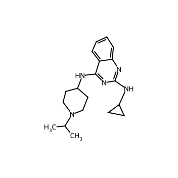 CC(C)N1CCC(Nc2nc(NC3CC3)nc3ccccc23)CC1